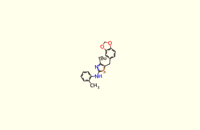 Cc1ccccc1Nc1nc(C(C)(C)C)c(Cc2ccc3c(c2)OCO3)s1